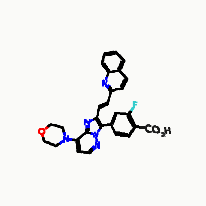 O=C(O)c1ccc(-c2c(C=Cc3ccc4ccccc4n3)nc3c(N4CCOCC4)ccnn23)cc1F